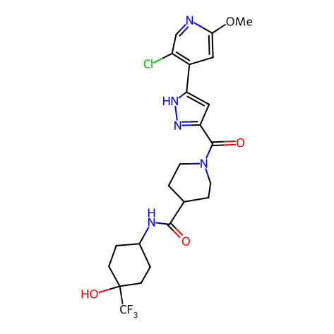 COc1cc(-c2cc(C(=O)N3CCC(C(=O)NC4CCC(O)(C(F)(F)F)CC4)CC3)n[nH]2)c(Cl)cn1